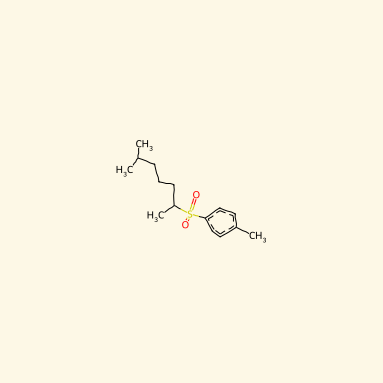 Cc1ccc(S(=O)(=O)C(C)CCCC(C)C)cc1